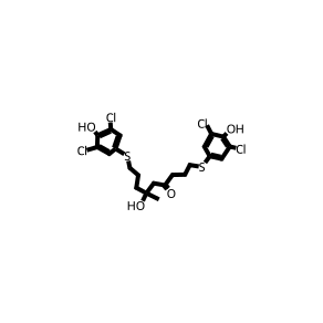 CC(O)(CCCSc1cc(Cl)c(O)c(Cl)c1)CC(=O)CCCSc1cc(Cl)c(O)c(Cl)c1